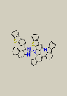 c1ccc2c(c1)ccc1nc(-n3c4c5ccccc5cc5c6cccc7c8ccccc8n(c8cc9c%10ccccc%10sc9c3c8c54)c67)nc(-c3ccc4c(c3)sc3ccccc34)c12